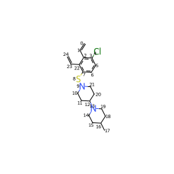 C=Cc1c(Cl)ccc(SN2CCC(N3CCC(C)CC3)CC2)c1C=C